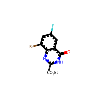 CCOC(=O)c1nc2c(Br)cc(F)cc2c(=O)[nH]1